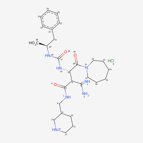 Cl.N=C(N)C(C(=O)NCC1CCCNC1)[C@H](NC(=O)N[C@H](Cc1ccccc1)C(=O)O)C(=O)N1CCCCCC1